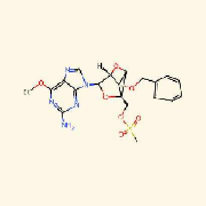 CCOc1nc(N)nc2c1ncn2[C@@H]1O[C@@]2(COS(C)(=O)=O)C3O[C@@H]1[C@@]32OCc1ccccc1